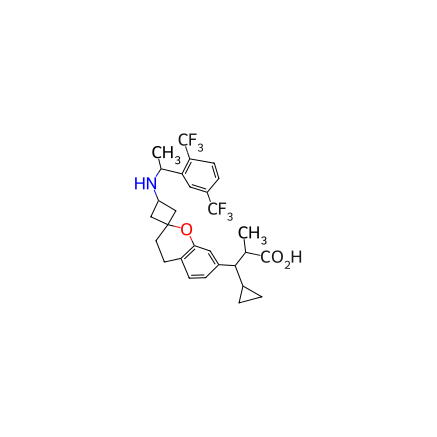 CC(NC1CC2(CCc3ccc(C(C4CC4)C(C)C(=O)O)cc3O2)C1)c1cc(C(F)(F)F)ccc1C(F)(F)F